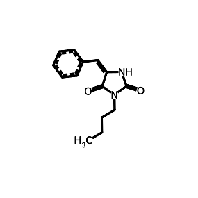 CCCCN1C(=O)NC(=Cc2ccccc2)C1=O